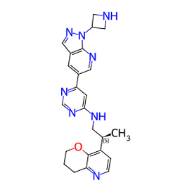 C[C@H](CNc1cc(-c2cnc3c(cnn3C3CNC3)c2)ncn1)c1ccnc2c1OCCC2